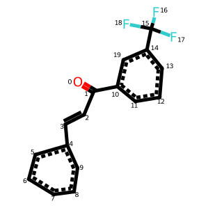 O=C(/C=C/c1ccccc1)c1cccc(C(F)(F)F)c1